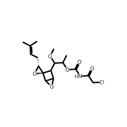 COC(C(C)OC(=O)NC(=O)CCl)C1C2OC2[C@@]12O[C@@H]2CC=C(C)C